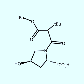 CC(C)(C)OC(=O)C(C(=O)N1C[C@H](O)C[C@H]1C(=O)O)C(C)(C)C